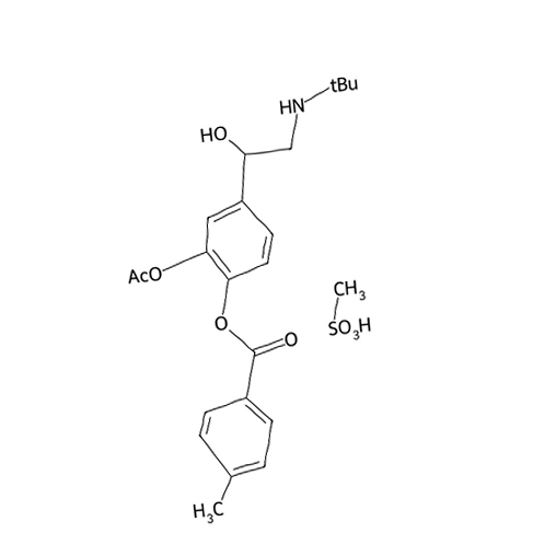 CC(=O)Oc1cc(C(O)CNC(C)(C)C)ccc1OC(=O)c1ccc(C)cc1.CS(=O)(=O)O